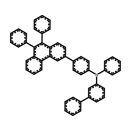 c1ccc(-c2cccc(N(c3ccccc3)c3ccc(-c4ccc5c(-c6ccccc6)c(-c6ccccc6)c6ccccc6c5c4)cc3)c2)cc1